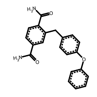 NC(=O)c1ccc(C(N)=O)c(Cc2ccc(Oc3ccccc3)cc2)c1